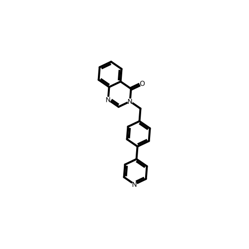 O=c1c2ccccc2ncn1Cc1ccc(-c2ccncc2)cc1